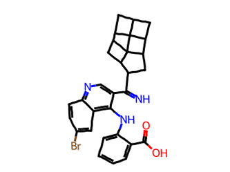 N=C(c1cnc2ccc(Br)cc2c1Nc1ccccc1C(=O)O)C1CC2C3CC4CC5C6CC1C26C435